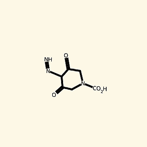 N=NC1C(=O)CN(C(=O)O)CC1=O